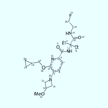 CCC(CC)(NC(=O)c1ccc(N2CC(OC)C2)c(OCC2CC2)n1)C(=O)NCCF